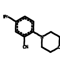 CC(C)c1ccc(N2CCOCC2)c(C#N)c1